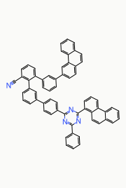 N#Cc1cccc(-c2cccc(-c3ccc4ccc5ccccc5c4c3)c2)c1-c1cccc(-c2ccc(-c3nc(-c4ccccc4)nc(-c4cccc5c4ccc4ccccc45)n3)cc2)c1